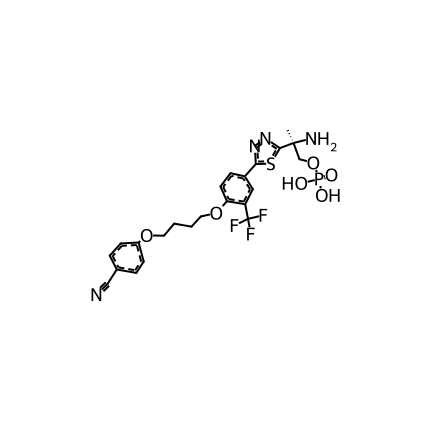 C[C@](N)(COP(=O)(O)O)c1nnc(-c2ccc(OCCCCOc3ccc(C#N)cc3)c(C(F)(F)F)c2)s1